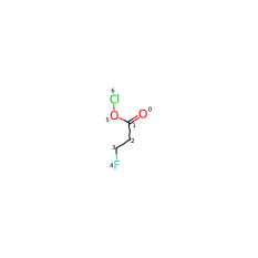 O=C(CCF)OCl